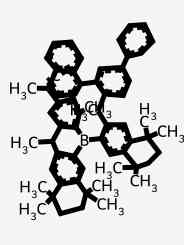 Cc1cc(C(C)c2ccccc2)cc2c1B(c1cc3c(cc1C(C)c1ccc(-c4ccccc4)cc1-c1ccccc1)C(C)(C)CCC3(C)C)c1cc3c(cc1C2C)C(C)(C)CCC3(C)C